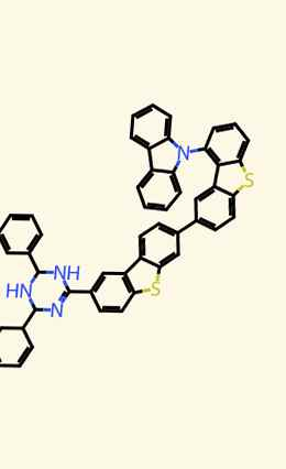 C1=CCC(C2N=C(c3ccc4sc5cc(-c6ccc7sc8cccc(-n9c%10ccccc%10c%10ccccc%109)c8c7c6)ccc5c4c3)NC(c3ccccc3)N2)C=C1